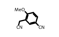 COc1ccc(C#N)cc1CC#N